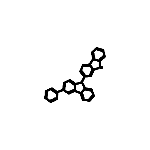 c1ccc(-c2ccc3c(c2)c2ccccc2n3-c2ccc3c(c2)[nH]c2ccccc23)cc1